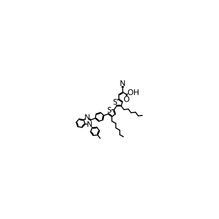 CCCCCCc1cc(-c2sc(/C=C(/C#N)C(=O)O)cc2CCCCCC)sc1-c1ccc(-c2nc3ccccc3n2-c2ccc(C)cc2)cc1